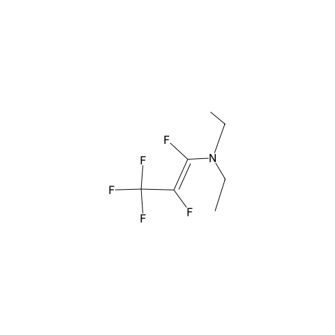 CCN(CC)C(F)=C(F)C(F)(F)F